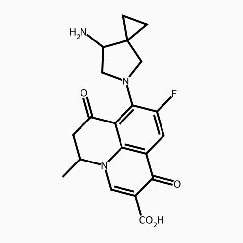 CC1CC(=O)c2c(N3CC(N)C4(CC4)C3)c(F)cc3c(=O)c(C(=O)O)cn1c23